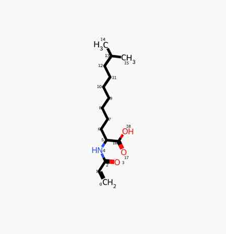 C=CC(=O)NC(CCCCCCCC(C)C)C(=O)O